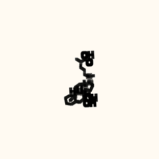 CC(CCC[C@@H](C)[C@H]1CC[C@H]2[C@H]3[C@H](CC[C@]12C)[C@@]1(C)CCCCC1=CC3(O)O)C(=O)O